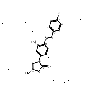 Cl.N[C@H]1CC(=O)N(c2ccc(OCc3ccc(F)cc3)cc2)C1